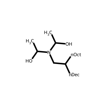 CCCCCCCCCCC(CCCCCCCC)CN(C(C)O)C(C)O